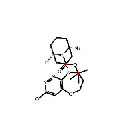 CC(C)(C)OC(=O)N1[C@@H]2CCC[C@H]1C[C@H](N1CCCOc3cc(Cl)nnc31)C2